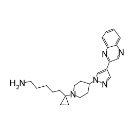 NCCCCCC1(N2CCC(n3cc(-c4cnc5ccccc5n4)cn3)CC2)CC1